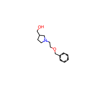 OCC1CCN(CCOCc2ccccc2)C1